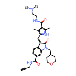 C#CCNC(=O)c1ccc2c(c1)N(CC1CCOCC1)C(=O)/C2=C\c1[nH]c(C)c(C(=O)NCCN(CC)CC)c1C